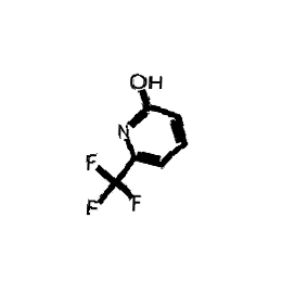 Oc1cccc(C(F)(F)F)n1